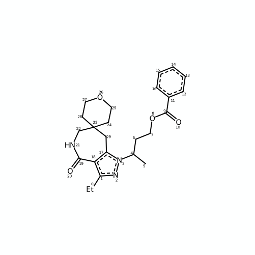 CCc1nn(C(C)CCOC(=O)c2ccccc2)c2c1C(=O)NCC1(CCOCC1)C2